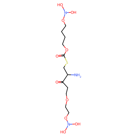 NC(CSC(=O)OCCCCON(O)O)C(=O)CCOCCON(O)O